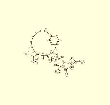 CC(C)[C@H]1COCCCCOc2ccc(cc2)C[C@@H](NC(=O)N[C@@](C)(C[C@H]2C[C@H](N)C2)C(=O)O)C(=O)N1